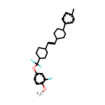 Cc1ccc(C2CCC(/C=C/C3CCC(C(F)(F)Oc4ccc(OC(F)(F)F)c(F)c4)CC3)CC2)cc1